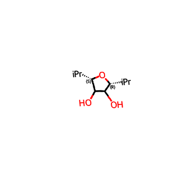 CC(C)[C@H]1O[C@@H](C(C)C)C(O)C1O